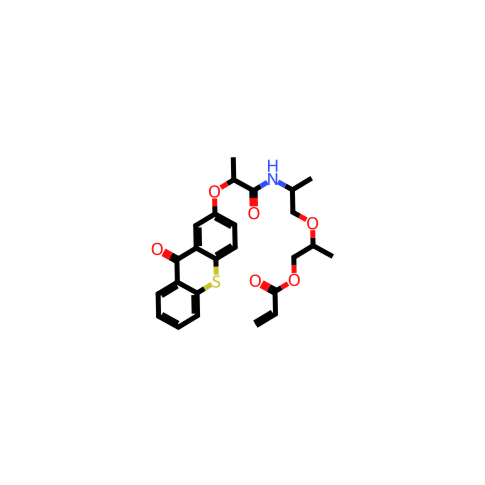 C=CC(=O)OCC(C)OCC(C)NC(=O)C(C)Oc1ccc2sc3ccccc3c(=O)c2c1